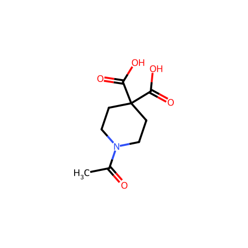 CC(=O)N1CCC(C(=O)O)(C(=O)O)CC1